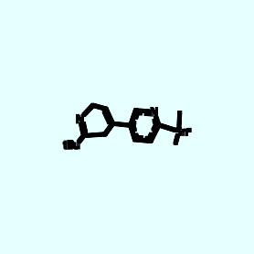 CC(C)(C)C1=NCC=C(c2cc[c]([Sn]([CH3])([CH3])[CH3])nc2)C1